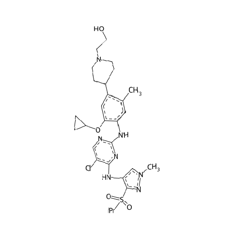 Cc1cc(Nc2ncc(Cl)c(Nc3cn(C)nc3S(=O)(=O)C(C)C)n2)c(OC2CC2)cc1C1CCN(CCO)CC1